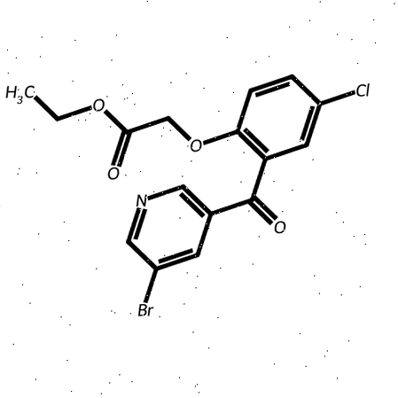 CCOC(=O)COc1ccc(Cl)cc1C(=O)c1cncc(Br)c1